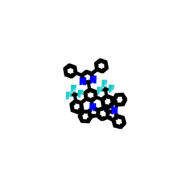 FC(F)(F)c1ccccc1-c1cc(-c2nc(-c3ccccc3)cc(-c3ccccc3)n2)cc(-c2ccccc2C(F)(F)F)c1-n1c2ccccc2c2cc3c4ccccc4n(-c4ccccc4)c3cc21